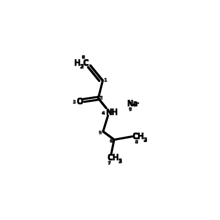 C=CC(=O)NCC(C)C.[Na]